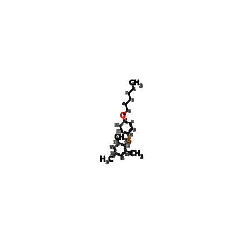 CCCCCCOc1ccc(Sc2c(C)cc(C)cc2C)cc1